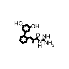 C/C(=C\c1ccccc1-c1cc(O)cc(O)c1)C(=O)NC(=N)N